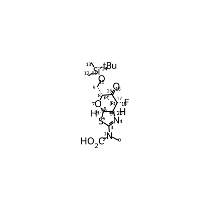 CN(C(=O)O)C1=N[C@H]2[C@H](O[C@H](CO[Si](C)(C)C(C)(C)C)C(=O)[C@@H]2F)S1